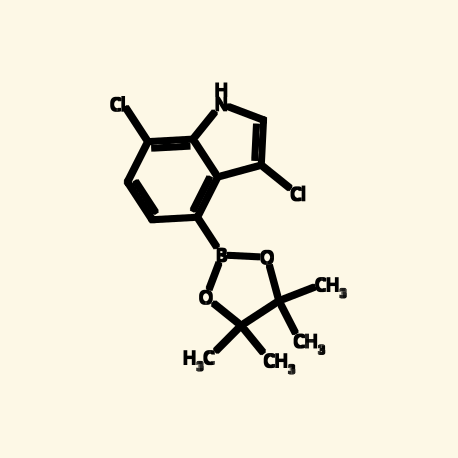 CC1(C)OB(c2ccc(Cl)c3[nH]cc(Cl)c23)OC1(C)C